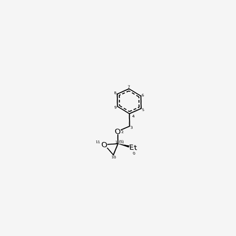 CC[C@@]1(OCc2ccccc2)CO1